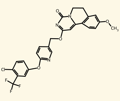 COc1ccc2c(c1)CCn1c-2cc(OCc2ccc(Oc3ccc(Cl)c(C(F)(F)F)c3)nc2)nc1=O